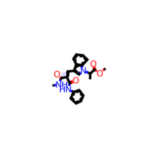 CNC(=O)/C(=C/c1cn(C(C)C(=O)OC)c2ccccc12)C(=O)Nc1ccccc1